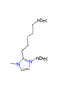 CCCCCCCCCCCCCCCc1n(C)cc[n+]1CCCCCCCCCC